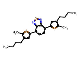 CCCCc1cc(-c2ccc(-c3cc(CCCC)c(C)s3)c3nsnc23)sc1C